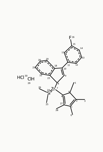 CC1=C(C)C(C)[C]([Zr]([CH]2C=C(c3cccc(F)c3)c3ccccc32)=[Si](C)C)=C1C.Cl.Cl